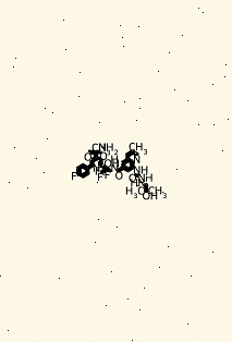 Cc1cnc2c(NC(=O)NNCC(C)(C)O)cc(C(=O)NCC(O)(c3cc4c(c(-c5ccc(F)cc5)n3)OC[C@]4(C)C(N)=O)C(F)(F)F)cc2c1